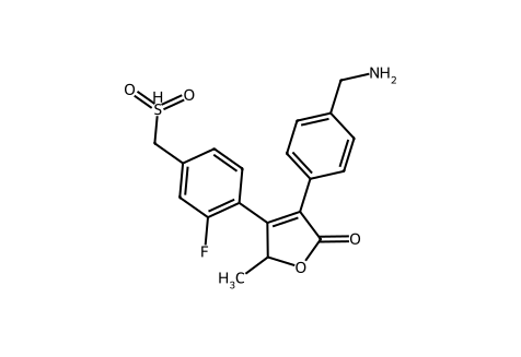 CC1OC(=O)C(c2ccc(CN)cc2)=C1c1ccc(C[SH](=O)=O)cc1F